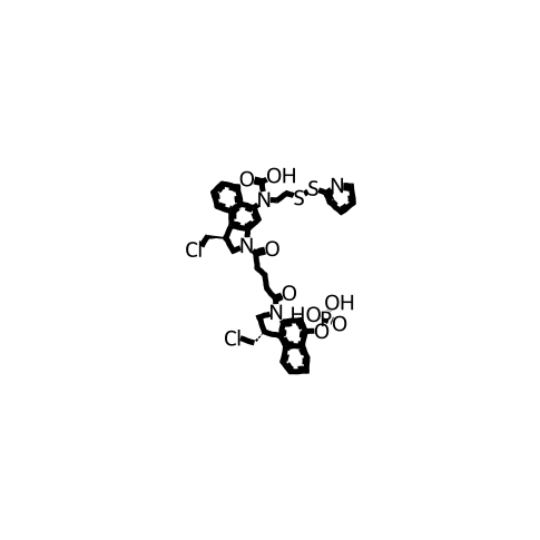 O=C(CCCC(=O)N1C[C@@H](CCl)c2c1cc(N(CCSSc1ccccn1)C(=O)O)c1ccccc21)N1C[C@@H](CCl)c2c1cc(OP(=O)(O)O)c1ccccc21